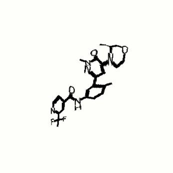 Cc1ccc(NC(=O)c2ccnc(C(C)(F)F)c2)cc1-c1cc(N2CCOC[C@@H]2C)c(=O)n(C)n1